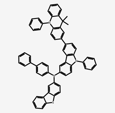 CC1(C)c2ccccc2N(c2ccccc2)c2ccc(-c3ccc4c(c3)c3cc(N(c5ccc(-c6ccccc6)cc5)c5ccc6sc7ccccc7c6c5)ccc3n4-c3ccccc3)cc21